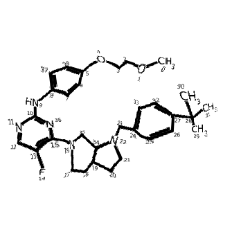 COCCOc1ccc(Nc2ncc(F)c(N3CCC4CCN(Cc5ccc(C(C)(C)C)cc5)C4C3)n2)cc1